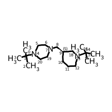 CC(C)(C)N1CCN(C[C@@H]2CCCN(C(C)(C)C)C2)CC1